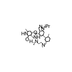 Cc1cc(C)c(CNC(=O)c2cc(-c3cc(CN(C)CCN)ccc3C)cc3c2cnn3C(C)C)c(=O)[nH]1